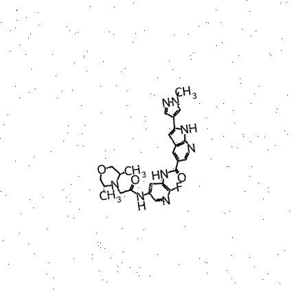 C[C@@H]1COC[C@@H](C)N1CC(=O)Nc1cnc(F)c(NC(=O)c2cnc3[nH]c(-c4cnn(C)c4)cc3c2)c1